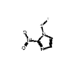 O=[N+]([O-])c1nccn1SF